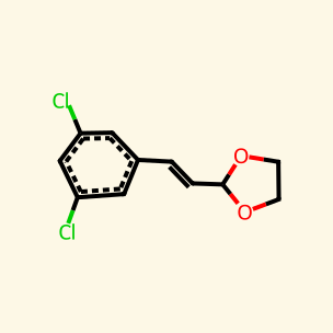 Clc1cc(Cl)cc(C=CC2OCCO2)c1